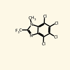 Cn1c(C(F)(F)F)nc2c(Cl)c(Cl)c(Cl)c(Cl)c21